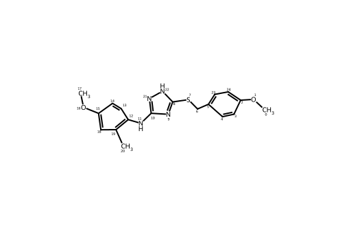 COc1ccc(CSc2nc(Nc3ccc(OC)cc3C)n[nH]2)cc1